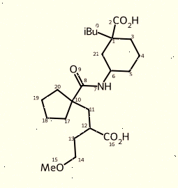 CCC(C)C1(C(=O)O)CCCC(NC(=O)C2(CC(CCOC)C(=O)O)CCCC2)C1